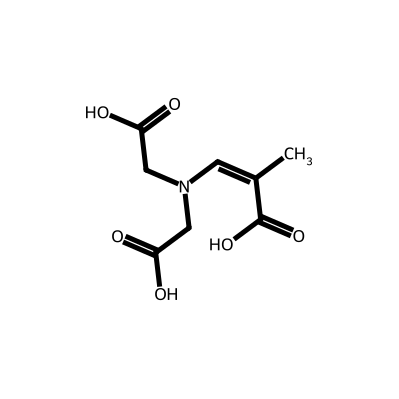 CC(=CN(CC(=O)O)CC(=O)O)C(=O)O